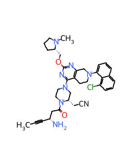 CC#C[C@@H](N)CC(=O)N1CCN(c2nc(OC[C@@H]3CCCN3C)nc3c2CCN(c2cccc4cccc(Cl)c24)C3)C[C@@H]1CC#N